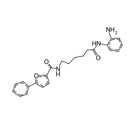 Nc1ccccc1NC(=O)CCCCCNC(=O)c1ccc(-c2ccccc2)o1